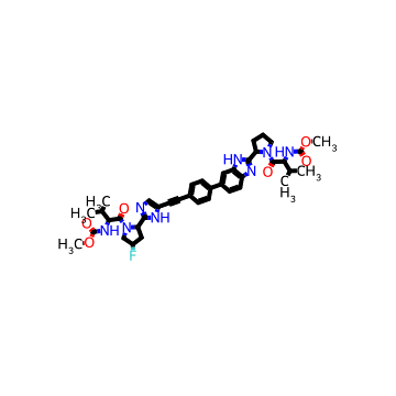 COC(=O)NC(C(=O)N1CC(F)CC1c1ncc(C#Cc2ccc(-c3ccc4nc(C5CCCN5C(=O)C(NC(=O)OC)C(C)C)[nH]c4c3)cc2)[nH]1)C(C)C